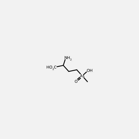 C[As](=O)(O)CCC(N)C(=O)O